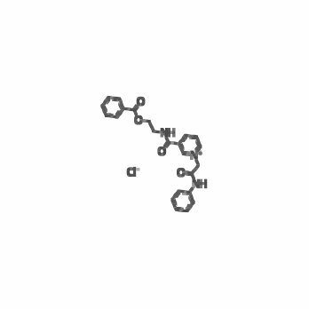 O=C(C[n+]1cccc(C(=O)NCCOC(=O)c2ccccc2)c1)Nc1ccccc1.[Cl-]